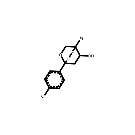 CCC12COC(c3ccc(Cl)cc3)(CC1O)OC2